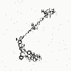 CC(C)(C)OC(=O)NCCOCCOCCC(=O)NCCCCCCCCOc1ccc(Cc2cc3c(Cc4ccccc4)[nH]c(-c4ccc(O[Si](C)(C)C(C)(C)C)cc4)cn-3c2=O)cc1F